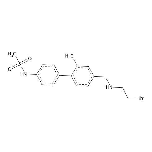 Cc1cc(CNCCC(C)C)ccc1-c1ccc(NS(C)(=O)=O)cc1